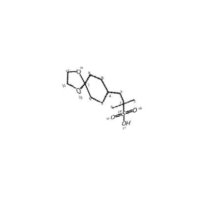 CC(C)(CC1CCC2(CC1)OCCO2)S(=O)(=O)O